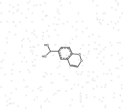 OB(O)c1ccc2c(c1)C=COO2